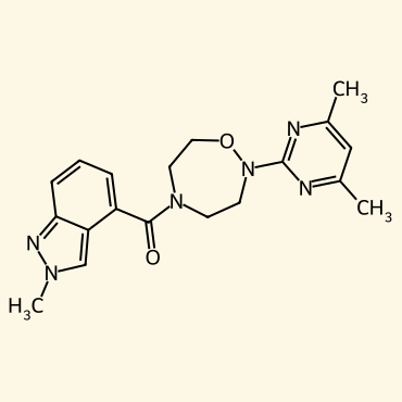 Cc1cc(C)nc(N2CCN(C(=O)c3cccc4nn(C)cc34)CCO2)n1